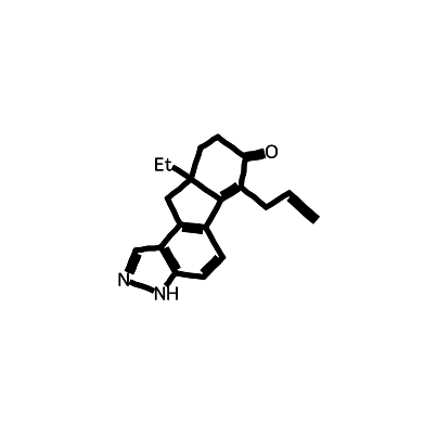 C=CCC1=C2c3ccc4[nH]ncc4c3CC2(CC)CCC1=O